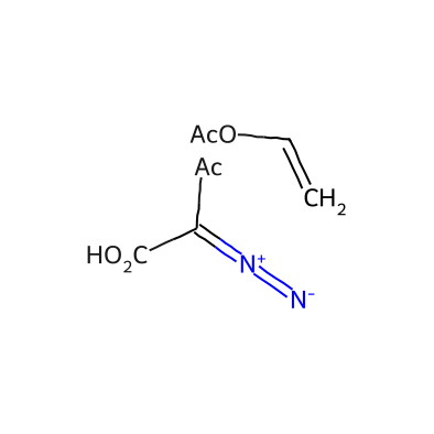 C=COC(C)=O.CC(=O)C(=[N+]=[N-])C(=O)O